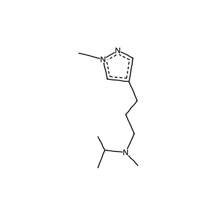 CC(C)N(C)CCCc1cnn(C)c1